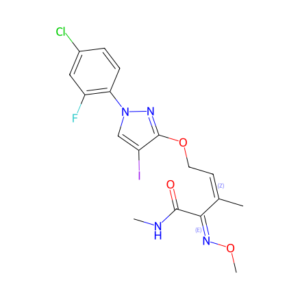 CNC(=O)C(=N/OC)/C(C)=C\COc1nn(-c2ccc(Cl)cc2F)cc1I